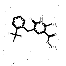 COC(=O)c1cc(Cc2ccccc2C(F)(F)F)c(=O)[nH]c1C